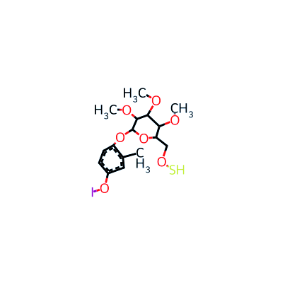 COC1C(COS)OC(Oc2ccc(OI)cc2C)C(OC)C1OC